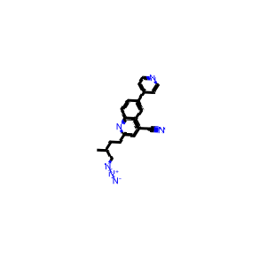 CC(CCc1cc(C#N)c2cc(-c3ccncc3)ccc2n1)CN=[N+]=[N-]